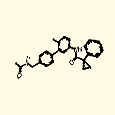 CC(=O)NCc1ccc(-c2cc(NC(=O)C3(c4ccccc4)CC3)ccc2C)cc1